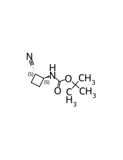 CC(C)(C)OC(=O)N[C@H]1CC[C@@H]1C#N